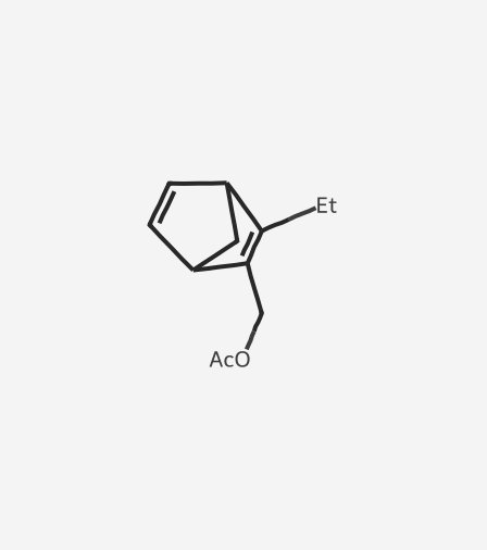 CCC1=C(COC(C)=O)C2C=CC1C2